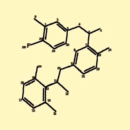 Cc1cc(CC(C)c2cc(CC(C)c3c(C)cccc3C)ccc2C)ccc1F